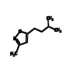 Cc1cc(CCC(C)C)on1